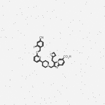 N#Cc1ccc(COc2cccc(C3CCN(Cc4nc5ccc(C(=O)O)cn5c4CC4CCO4)CC3)n2)c(F)c1